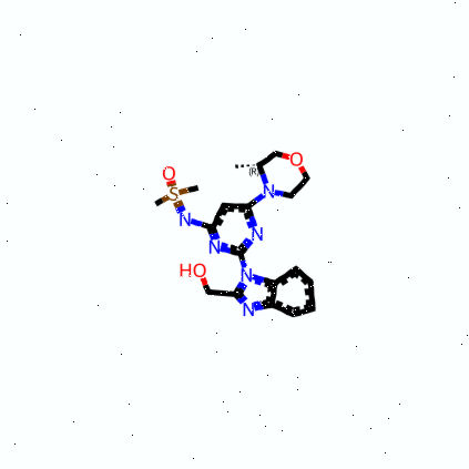 C[C@@H]1COCCN1c1cc(N=S(C)(C)=O)nc(-n2c(CO)nc3ccccc32)n1